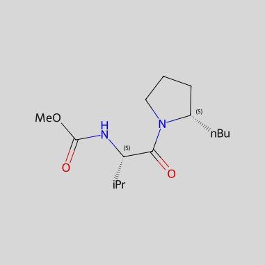 CCCC[C@H]1CCCN1C(=O)[C@@H](NC(=O)OC)C(C)C